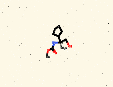 CC(C)(C)OC(=O)N[C@@](CO)(C(=O)O)C1CCCC1